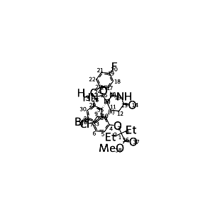 CCC(CC)(Oc1ccc(Cl)cc1[C@H]1CC(=O)N[C@@H](c2cc(F)ccc2C)[C@]12C(=O)Nc1cc(Br)ccc12)C(=O)OC